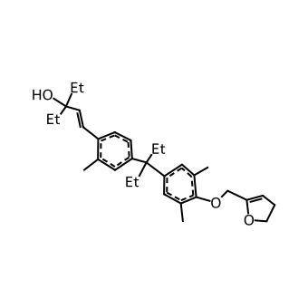 CCC(O)(C=Cc1ccc(C(CC)(CC)c2cc(C)c(OCC3=CCCO3)c(C)c2)cc1C)CC